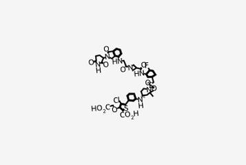 CC1(C)C[C@@H](Nc2cccc(-c3sc(C(=O)O)c(OCC(=O)O)c3Cl)c2)CCN1S(=O)(=O)Cc1ccc(F)c(NC(=O)C2CN(C(=O)CNc3cccc4c3CN(C3CCC(=O)NC3=O)C4=O)C2)c1